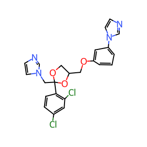 Clc1ccc(C2(Cn3ccnc3)OCC(COc3cccc(-n4ccnc4)c3)O2)c(Cl)c1